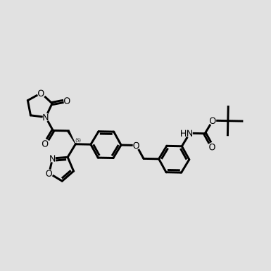 CC(C)(C)OC(=O)Nc1cccc(COc2ccc([C@H](CC(=O)N3CCOC3=O)c3ccon3)cc2)c1